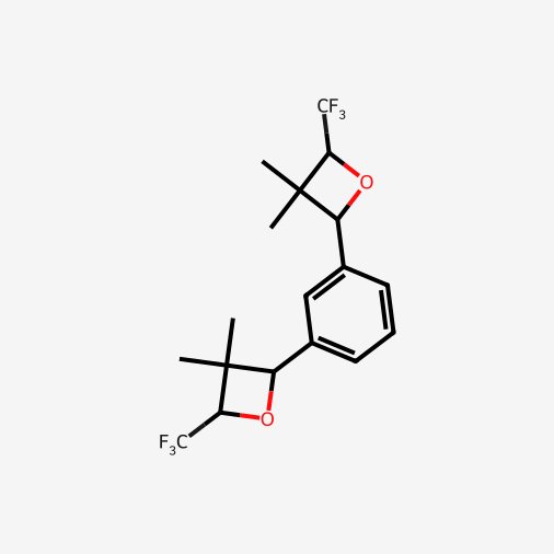 CC1(C)C(c2cccc(C3OC(C(F)(F)F)C3(C)C)c2)OC1C(F)(F)F